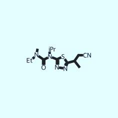 CCN(C)C(=O)N(c1nnc(C(C)CC#N)s1)C(C)C